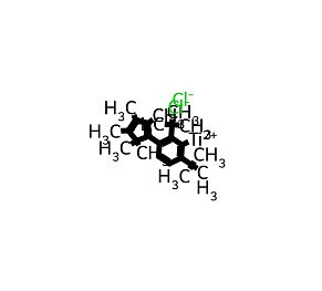 CC1=C(C)C(C)(C)C(c2ccc(C(C)(C)C)[c]([Ti+2])c2C(C)(C)C)=C1C.[Cl-].[Cl-]